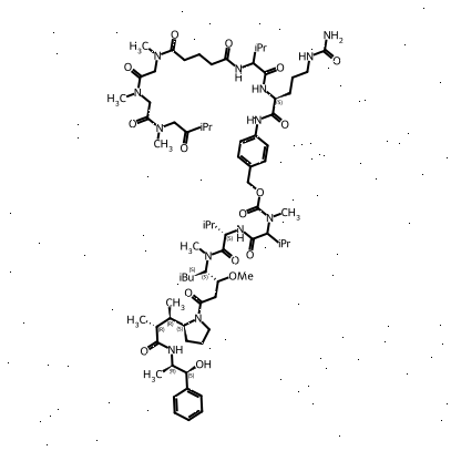 CC[C@H](C)[C@@H](C(CC(=O)N1CCC[C@H]1[C@H](C)[C@@H](C)C(=O)N[C@H](C)[C@@H](O)c1ccccc1)OC)N(C)C(=O)[C@@H](NC(=O)C(C(C)C)N(C)C(=O)OCc1ccc(NC(=O)[C@H](CCCNC(N)=O)NC(=O)C(NC(=O)CCCC(=O)N(C)CC(=O)N(C)CC(=O)N(C)CC(=O)C(C)C)C(C)C)cc1)C(C)C